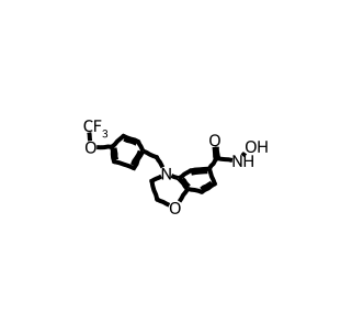 O=C(NO)c1ccc2c(c1)N(Cc1ccc(OC(F)(F)F)cc1)CCO2